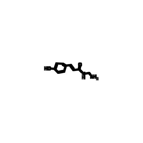 NCNC(=O)C=Cc1ccc(O)cc1